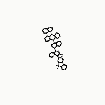 CC1(C)c2ccccc2-c2cc3oc4cc(-c5ccc(-c6c7ccccc7c(-c7cccc8ccccc78)c7ccccc67)c6ccccc56)c5ccccc5c4c3cc21